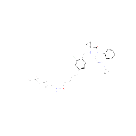 CN(C[C@H](O)[C@@H](O)[C@@H](O)[C@H](O)CO)C(=O)CCCCc1cc(Cl)c(CNC2(C(=O)N3CCN(C4CC4)c4ccccc43)CC2)cc1Cl